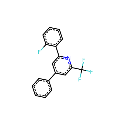 Fc1ccccc1-c1cc(-c2ccccc2)cc(C(F)(F)F)n1